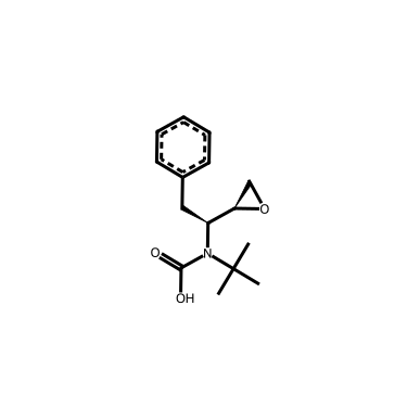 CC(C)(C)N(C(=O)O)[C@@H](Cc1ccccc1)[C@H]1CO1